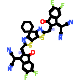 N#CC(C#N)=C1/C(=C/c2nc3c(s2)-c2sc(/C=C4\C(=O)c5cc(F)c(F)cc5C4=C(C#N)C#N)nc2C32CCCCC2)C(=O)c2cc(F)c(F)cc21